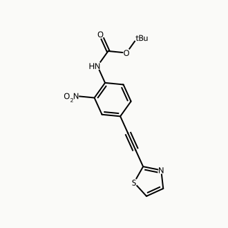 CC(C)(C)OC(=O)Nc1ccc(C#Cc2nccs2)cc1[N+](=O)[O-]